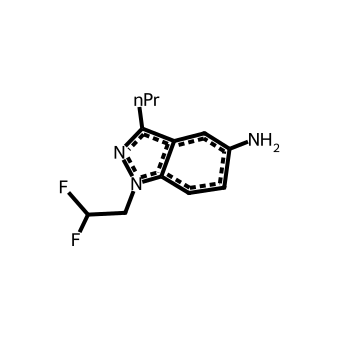 CCCc1nn(CC(F)F)c2ccc(N)cc12